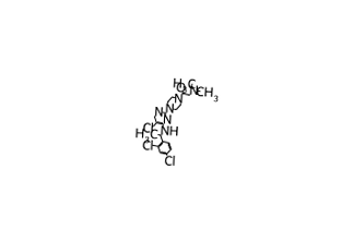 CC(Nc1nc(N2CCN(C(=O)CN(C)C)CC2)ncc1Cl)c1ccc(Cl)cc1Cl